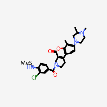 CSNc1ccc(C(=O)N2CCc3c(c(=O)oc4c(C)c(N5CCN(C)C(C)C5)ccc34)C2)cc1Cl